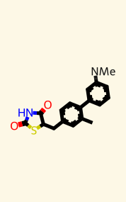 CNc1cccc(-c2ccc(CC3SC(=O)NC3=O)cc2C)c1